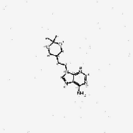 CC1(C)OCC(CCn2cnc3c(N)ncnc32)CO1